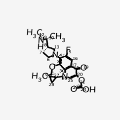 CCOc1c(N2CC[C@H]([C@@H](C)NC)C2)c(F)cc2c(=O)c(OC(=O)O)cn(C3CC3)c12